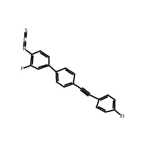 CCc1ccc(C#Cc2ccc(-c3ccc(N=C=S)c(F)c3)cc2)cc1